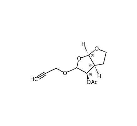 C#CCOC1O[C@H]2OCC[C@H]2[C@H]1OC(C)=O